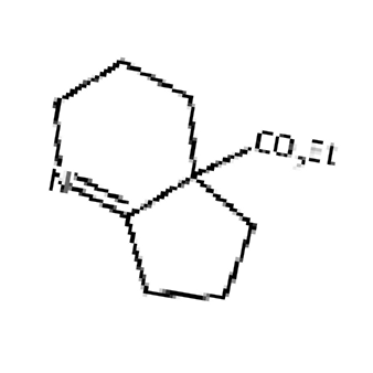 CCOC(=O)C12CCCN=C1CCC2